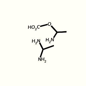 CC(N)N.CC(N)OC(=O)O